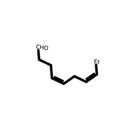 CC/C=C\C/C=C\CCC=O